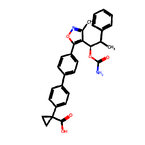 Cc1noc(-c2ccc(-c3ccc(C4(C(=O)O)CC4)cc3)cc2)c1[C@H](OC(N)=O)C(C)c1ccccc1